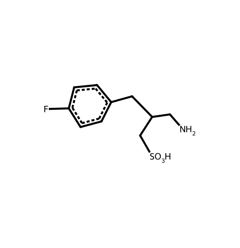 NCC(Cc1ccc(F)cc1)CS(=O)(=O)O